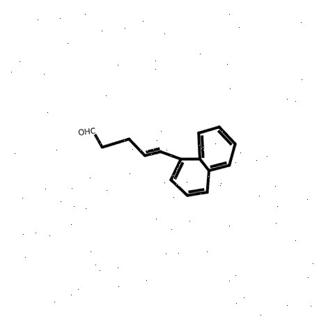 O=CCC/C=C/c1cccc2ccccc12